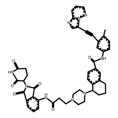 Cc1ccc(NC(=O)c2ccc3c(c2)CCCC3N2CCN(CCC(=O)Nc3cccc4c3C(=O)N(C3CCC(=O)NC3=O)C4=O)CC2)cc1C#Cc1cnc2cccnn12